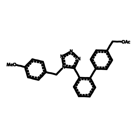 COc1ccc(Cn2nnnc2-c2ccccc2-c2ccc(COC(C)=O)cc2)cc1